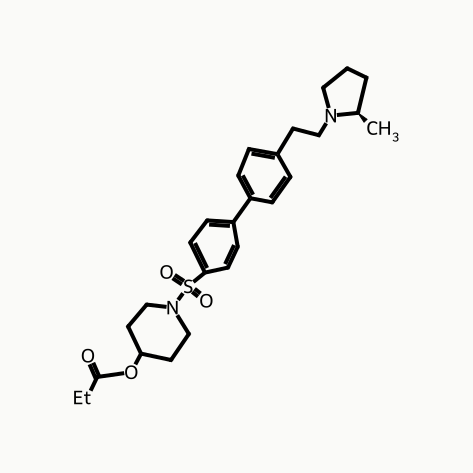 CCC(=O)OC1CCN(S(=O)(=O)c2ccc(-c3ccc(CCN4CCC[C@H]4C)cc3)cc2)CC1